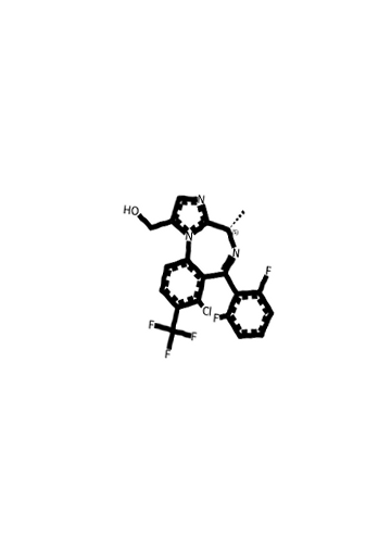 C[C@@H]1N=C(c2c(F)cccc2F)c2c(ccc(C(F)(F)F)c2Cl)-n2c(CO)cnc21